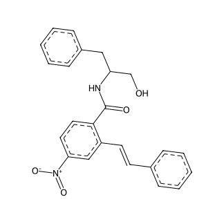 O=C(NC(CO)Cc1ccccc1)c1ccc([N+](=O)[O-])cc1C=Cc1ccccc1